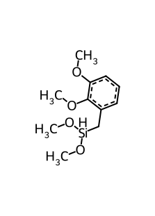 COc1cccc(C[SiH](OC)OC)c1OC